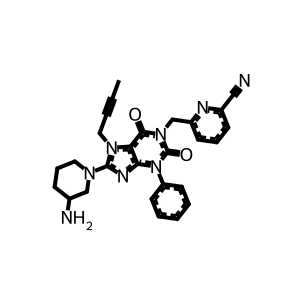 CC#CCn1c(N2CCCC(N)C2)nc2c1c(=O)n(Cc1cccc(C#N)n1)c(=O)n2-c1ccccc1